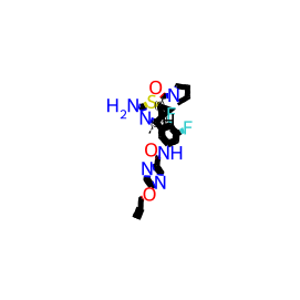 C#CCOc1cnc(C(=O)Nc2cc(F)c(F)c([C@@]3(C)N=C(N)S[C@@]4(C(=O)N5CCCC5)C[C@H]43)c2)cn1